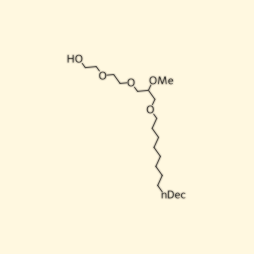 CCCCCCCCCCCCCCCCCCOCC(COCCOCCO)OC